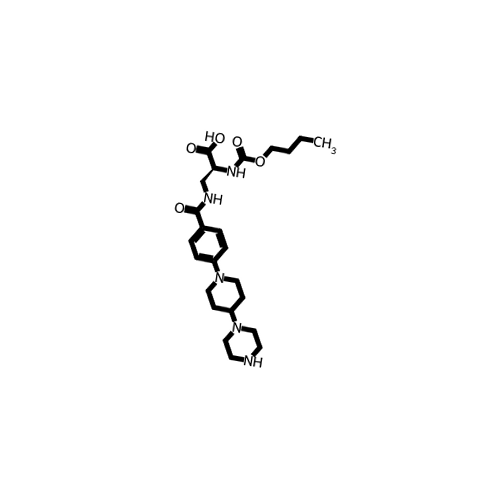 CCCCOC(=O)N[C@@H](CNC(=O)c1ccc(N2CCC(N3CCNCC3)CC2)cc1)C(=O)O